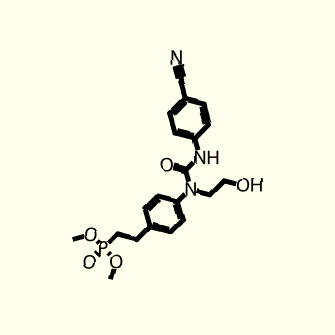 COP(=O)(CCc1ccc(N(CCO)C(=O)Nc2ccc(C#N)cc2)cc1)OC